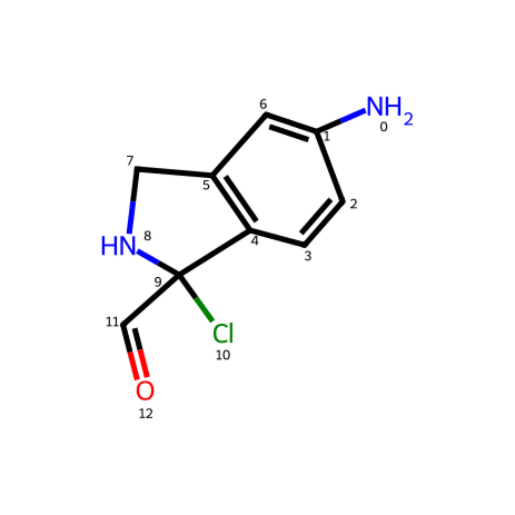 Nc1ccc2c(c1)CNC2(Cl)C=O